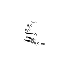 O.O.O.O.O.O=[N+]([O-])[O-].O=[N+]([O-])[O-].O=[N+]([O-])[O-].[Ce+3]